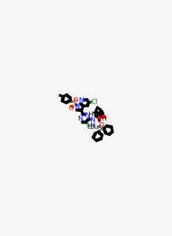 Cc1ccc(S(=O)(=O)n2cc(-c3ncc(F)c(NC4[C@@H](CO[Si](c5ccccc5)(c5ccccc5)C(C)(C)C)CC5C[C@@H]4C5(C)C)n3)c3cc(Cl)cnc32)cc1